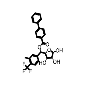 Cc1cc([C@@H](OC(=O)c2ccc(-c3ccccc3)cc2)[C@H]2O[C@@H](O)[C@H](O)[C@@H]2O)ccc1C(F)(F)F